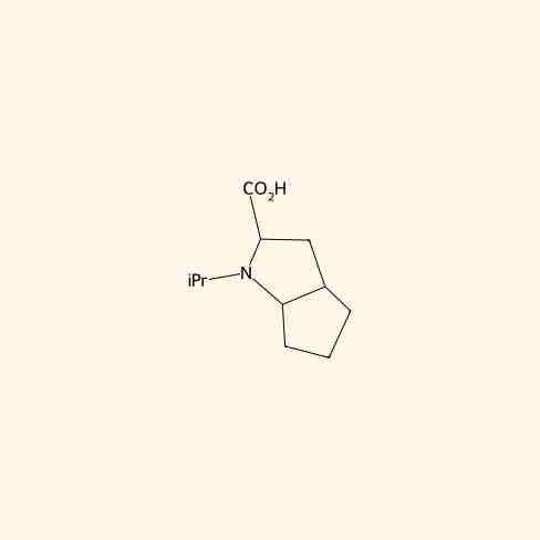 CC(C)N1C(C(=O)O)CC2CCCC21